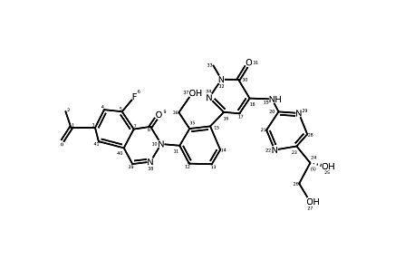 C=C(C)c1cc(F)c2c(=O)n(-c3cccc(-c4cc(Nc5cnc([C@H](O)CO)cn5)c(=O)n(C)n4)c3CO)ncc2c1